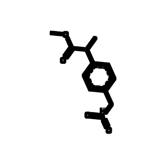 COC(=O)C(C)c1ccc(C[SH](=O)=O)cc1